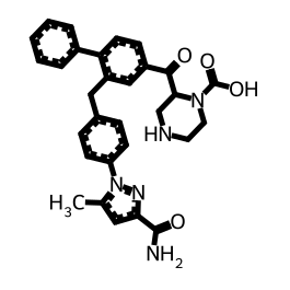 Cc1cc(C(N)=O)nn1-c1ccc(Cc2cc(C(=O)C3CNCCN3C(=O)O)ccc2-c2ccccc2)cc1